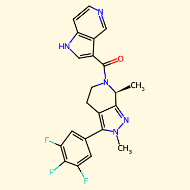 C[C@H]1c2nn(C)c(-c3cc(F)c(F)c(F)c3)c2CCN1C(=O)c1c[nH]c2ccncc12